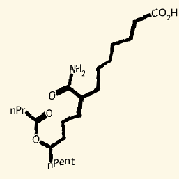 CCCCCC(CCCC(CCCCCCC(=O)O)C(N)=O)OC(=O)CCC